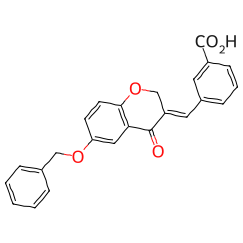 O=C(O)c1cccc(/C=C2\COc3ccc(OCc4ccccc4)cc3C2=O)c1